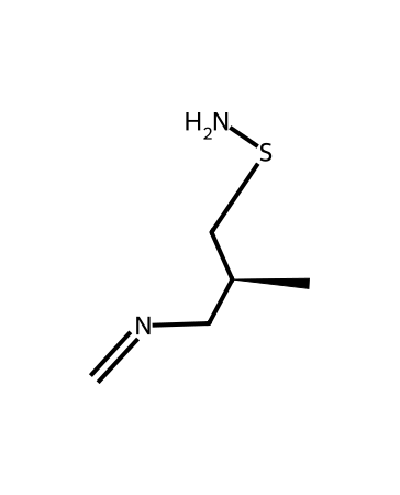 C=NC[C@H](C)CSN